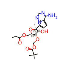 CCC(=O)OC[C@H]1O[C@@](C)(c2ccc3c(N)ncnn23)[C@H](O)[C@@H]1OCOC(=O)C(C)(C)C